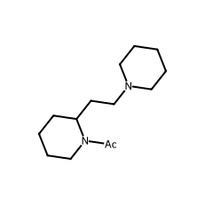 CC(=O)N1CCCCC1CCN1CCCCC1